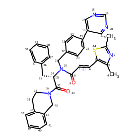 Cc1nc(C)c(/C=C/C(=O)N(Cc2ccc(-c3cncnc3)cc2)[C@@H](Cc2ccccc2)C(=O)N2CCc3ccccc3C2)s1